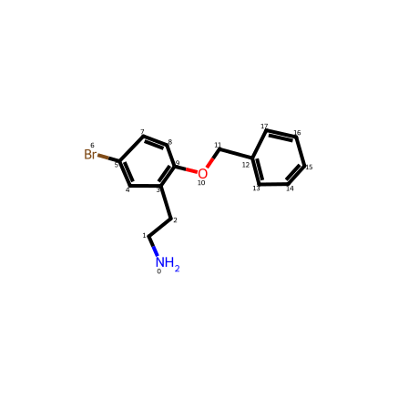 NCCc1cc(Br)ccc1OCc1ccccc1